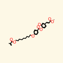 C=C(C)C(=O)OCCCCCCCCCOc1ccc(C(=O)Oc2ccc(C=CC(=O)OC)cc2OC)cc1